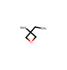 CSC1(COC(C)=O)COC1